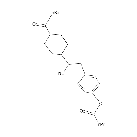 CCCCC(=O)C1CCC(C(C#N)Cc2ccc(OC(=O)CCC)cc2)CC1